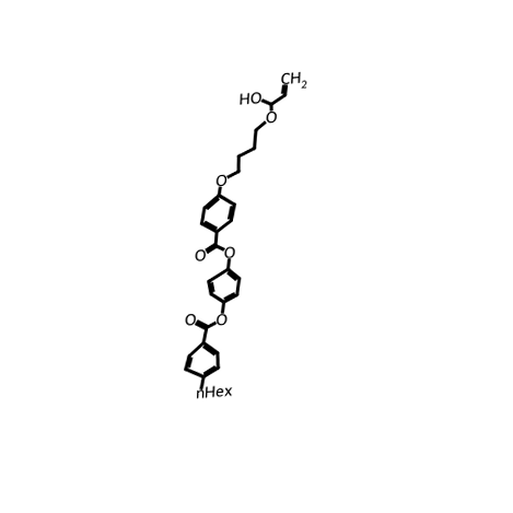 C=CC(O)OCCCCOc1ccc(C(=O)Oc2ccc(OC(=O)c3ccc(CCCCCC)cc3)cc2)cc1